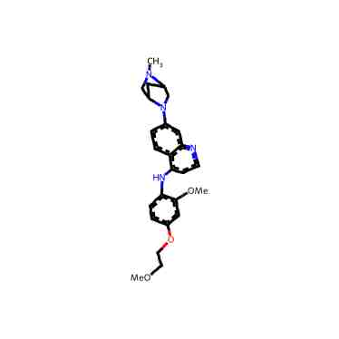 COCCOc1ccc(Nc2ccnc3cc(N4CC5CC4CN5C)ccc23)c(OC)c1